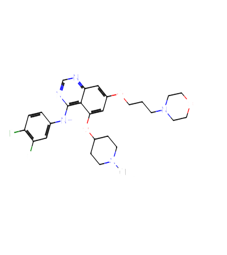 CN1CCC(Oc2cc(OCCCN3CCOCC3)cc3ncnc(Nc4ccc(F)c(Cl)c4)c23)CC1